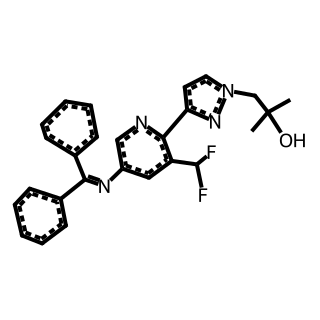 CC(C)(O)Cn1ccc(-c2ncc(N=C(c3ccccc3)c3ccccc3)cc2C(F)F)n1